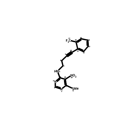 CSc1ncnc(NCCC#Cc2ccccc2C(F)(F)F)c1[N+](=O)[O-]